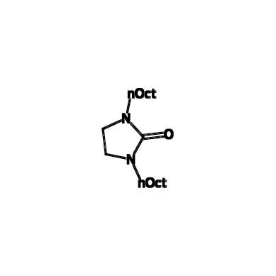 CCCCCCCCN1CCN(CCCCCCCC)C1=O